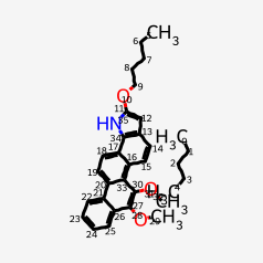 CCCCC.CCCCCOc1cc2ccc3c(ccc4c5ccccc5c(OC)c(OC)c43)c2[nH]1